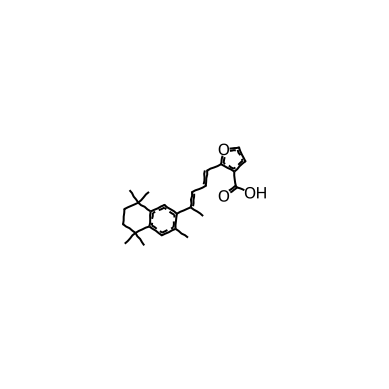 C/C(=C\C=C\c1occc1C(=O)O)c1cc2c(cc1C)C(C)(C)CCC2(C)C